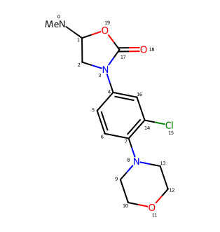 CNC1CN(c2ccc(N3CCOCC3)c(Cl)c2)C(=O)O1